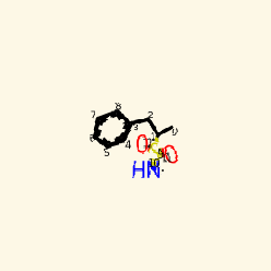 CC(Cc1ccccc1)S([NH])(=O)=O